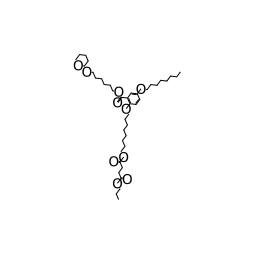 CCCCCCCCOc1ccc(OCCCCCCCCOC(=O)CCC(=O)OCCC)c(C(=O)OCCCCCCOC2CCCCO2)c1